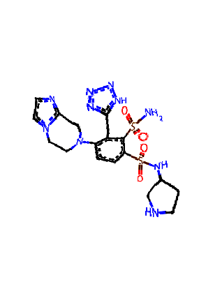 NS(=O)(=O)c1c(S(=O)(=O)NC2CCNC2)ccc(N2CCn3ccnc3C2)c1-c1nnn[nH]1